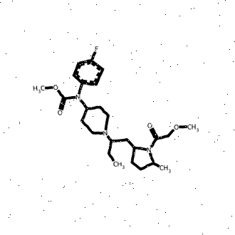 CCC(CC1CCC(C)N1C(=O)COC)N1CCC(N(C(=O)OC)c2ccc(F)cc2)CC1